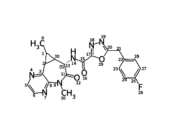 CC1C2c3nccnc3N(C)C(=O)[C@@H](NC(=O)c3nnc(Cc4ccc(F)cc4)o3)C12